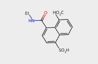 CCNC(=O)c1ccc(S(=O)(=O)O)c2cccc(C(=O)O)c12